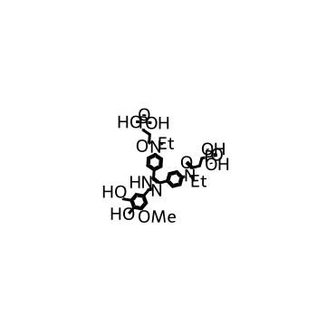 CCN(C(=O)CCP(=O)(O)O)c1ccc(-c2nc(-c3cc(CO)c(O)c(OC)c3)[nH]c2-c2ccc(N(CC)C(=O)CCP(=O)(O)O)cc2)cc1